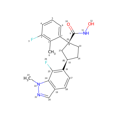 Cc1c(F)cccc1[C@]1(C(=O)NO)CC[C@@H](c2ccc3cnn(C)c3c2F)C1